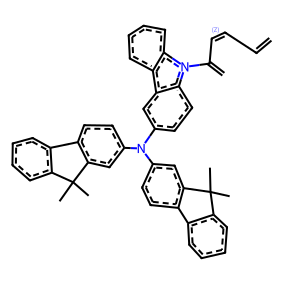 C=C/C=C\C(=C)n1c2ccccc2c2cc(N(c3ccc4c(c3)C(C)(C)c3ccccc3-4)c3ccc4c(c3)C(C)(C)c3ccccc3-4)ccc21